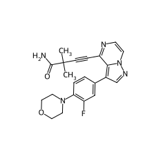 CC(C)(C#Cc1nccn2ncc(-c3ccc(N4CCOCC4)c(F)c3)c12)C(N)=O